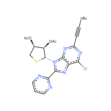 CCCCC#Cc1nc(Cl)c2nc(-c3ncccn3)n([C@@H]3SC[C@@H](OC(C)=O)[C@H]3OC(C)=O)c2n1